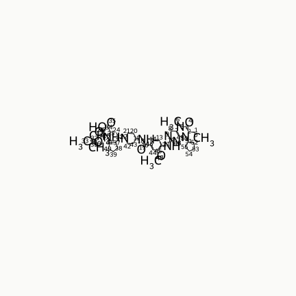 CC[C@@H]1C(=O)N(C)c2cnc(Nc3ccc(C(=O)NC4CCN(C(C[C@H](NC(=O)OC(C)(C)C)C(=O)O)C5CCCC5)CC4)cc3OC)nc2N1C1CCCC1